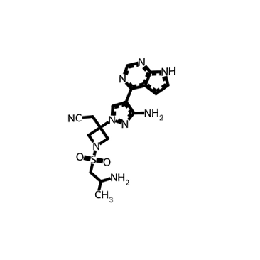 CC(N)CS(=O)(=O)N1CC(CC#N)(n2cc(-c3ncnc4[nH]ccc34)c(N)n2)C1